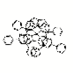 c1ccc(-c2cc(-c3ccccc3)nc(-c3cccc4c3[Si]3(c5c(-c6nc(-c7ccccc7)cc(-c7ccccc7)n6)cccc5-4)c4c(cccc4N(c4ccccc4)c4ccccc4)-c4cccc(N(c5ccccc5)c5ccccc5)c43)n2)cc1